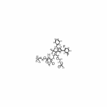 COC(=O)[C@H](CCN(COCCOC(C)=O)[C@@H](c1cc(-c2cc(F)ccc2F)cn1Cc1ccccc1)C(C)(C)C)NC(=O)OCC[Si](C)(C)C